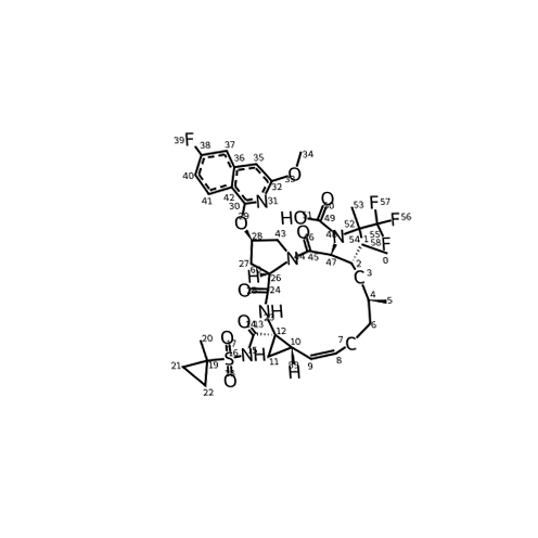 CC[C@@H]1C[C@@H](C)CC/C=C\[C@@H]2C[C@@]2(C(=O)NS(=O)(=O)C2(C)CC2)NC(=O)[C@@H]2C[C@@H](Oc3nc(OC)cc4cc(F)ccc34)CN2C(=O)[C@H]1N(C(=O)O)C(C)(C)C(F)(F)F